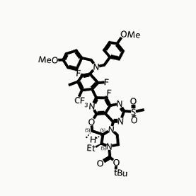 CC[C@H]1[C@H]2[C@H](C)Oc3nc(-c4c(F)c(N(Cc5ccc(OC)cc5)Cc5ccc(OC)cc5)c(F)c(C)c4C(F)(F)F)c(F)c4nc(S(C)(=O)=O)nc(c34)N2CCN1C(=O)OC(C)(C)C